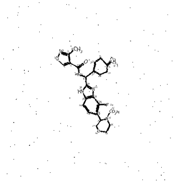 Cc1nocc1C(=O)NC(c1nc2c(F)c(C3COCCN3C(=O)O)ccc2[nH]1)C1CCC(C)CC1